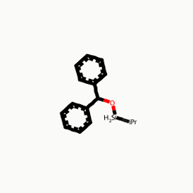 CC(C)[SiH2]OC(c1ccccc1)c1ccccc1